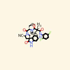 CC(C)C[C@@H](C(=O)N1C[C@]2(C[C@H]1C#N)C(=O)Nc1ccccc12)N(C)C(=O)C(C)(C)C(=O)Nc1cc(F)ccc1F